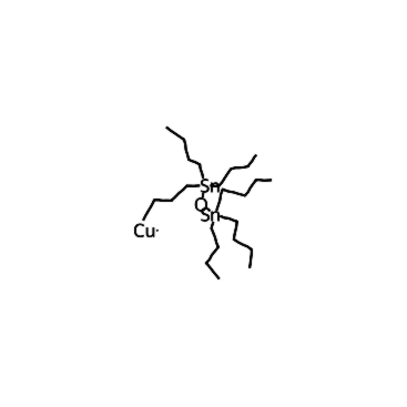 CCC[CH2][Sn]([CH2]CCC)([CH2]CCC)[O][Sn]([CH2]CCC)([CH2]CCC)[CH2]CCC.[Cu]